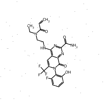 C=CC(=O)N(CC)CCNc1nc(C(N)=O)nc2c(=O)n(-c3c(O)cccc3F)c(C(F)(F)F)cc12